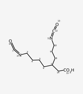 O=C=NCCCCC(CCCN=C=O)CC(=O)O